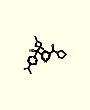 CC(C)c1ccc(C(O)(c2cncc(C(=O)N3CCCC3)c2)C2(C)CN(C)C2)cc1